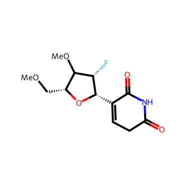 COC[C@H]1O[C@@H](C2=CCC(=O)NC2=O)[C@@H](F)C1OC